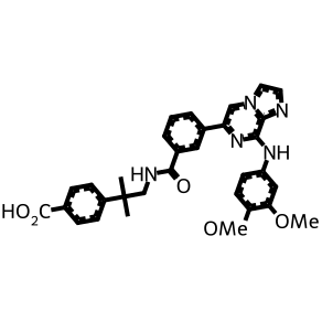 COc1ccc(Nc2nc(-c3cccc(C(=O)NCC(C)(C)c4ccc(C(=O)O)cc4)c3)cn3ccnc23)cc1OC